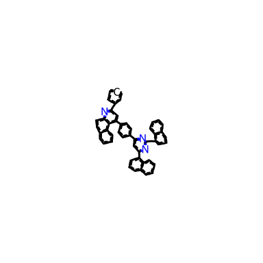 c1ccc(-c2cc(-c3ccc(-c4cc(-c5cccc6ccccc56)nc(-c5cccc6ccccc56)n4)cc3)c3c(ccc4ccccc43)n2)cc1